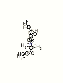 Cc1cc(C(=O)N2CCC(C)(O)CC2)cc(C)c1/C=C/S(=O)(=O)N1CCC2(CC1)N=C(c1ccc(C(F)F)c(F)c1)NC2=O